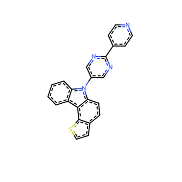 c1ccc2c(c1)c1c3sccc3ccc1n2-c1cnc(-c2ccncc2)nc1